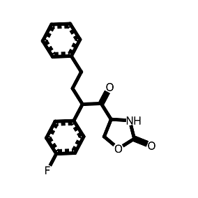 O=C1NC(C(=O)C(CCc2ccccc2)c2ccc(F)cc2)CO1